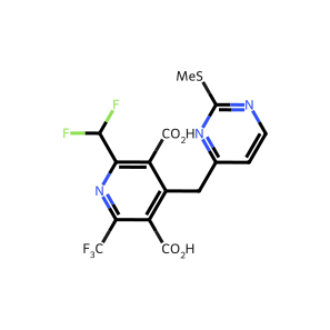 CSc1nccc(Cc2c(C(=O)O)c(C(F)F)nc(C(F)(F)F)c2C(=O)O)n1